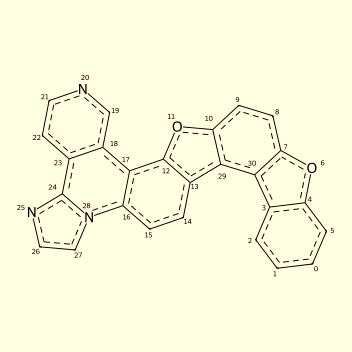 c1ccc2c(c1)oc1ccc3oc4c(ccc5c4c4cnccc4c4nccn54)c3c12